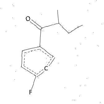 CCC(C)C(=O)c1ccc(F)cc1